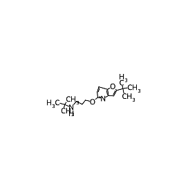 CC(C)(C)NCCCOc1ccc2oc(C(C)(C)C)cc2n1